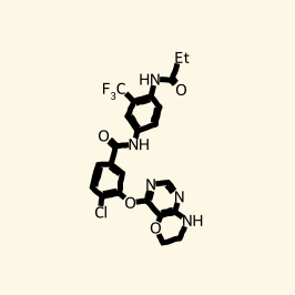 CCC(=O)Nc1ccc(NC(=O)c2ccc(Cl)c(Oc3ncnc4c3OCCN4)c2)cc1C(F)(F)F